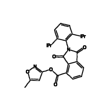 Cc1cc(OC(=O)c2cccc3c2C(=O)N(c2c(C(C)C)cccc2C(C)C)C3=O)no1